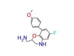 COc1ccc(-c2cc(F)cc3c2OC(CN)CN3)cc1